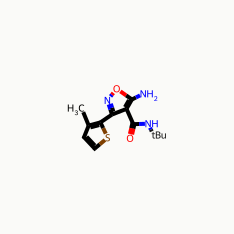 Cc1ccsc1-c1noc(N)c1C(=O)NC(C)(C)C